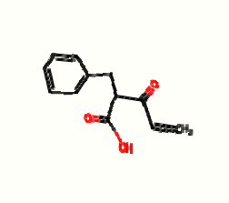 C=CC(=O)C(Cc1ccccc1)C(=O)O